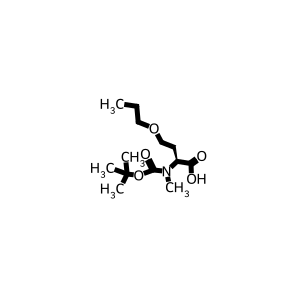 CCCOCC[C@@H](C(=O)O)N(C)C(=O)OC(C)(C)C